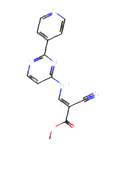 COC(=O)/C(C#N)=C/Nc1ccnc(-c2ccncc2)n1